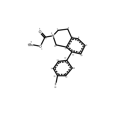 CC(C)(C)OC(=O)N1CCc2cccc(-c3ccc(F)cc3)c2C1